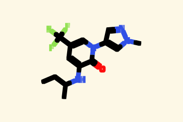 CCC(C)Nc1cc(C(F)(F)F)cn(-c2cnn(C)c2)c1=O